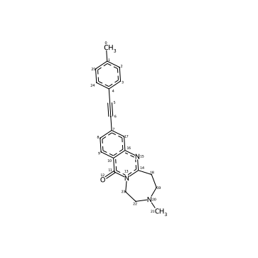 Cc1ccc(C#Cc2ccc3c(=O)n4c(nc3c2)CCN(C)CC4)cc1